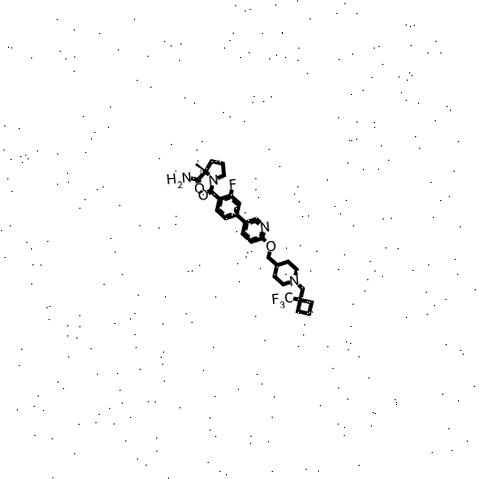 C[C@@]1(C(N)=O)CCCN1C(=O)c1ccc(-c2ccc(OCC3CCN(CC4(C(F)(F)F)CCC4)CC3)nc2)cc1F